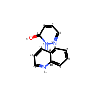 O=c1cccn[nH]1.c1ccc2ncccc2c1